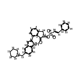 O=C1c2c(cccc2-c2cc3cc(CN4CCCCC4)ccc3[nH]2)CN1OS(=O)(=O)/C=C/c1ccccc1